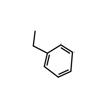 CCc1[c][c]ccc1